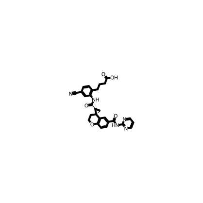 N#Cc1ccc(CCCC(=O)O)c(NC(=O)[C@@H]2C[C@]23CCOc2ccc(C(=O)Nc4ncccn4)cc23)c1